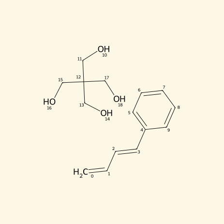 C=CC=Cc1ccccc1.OCC(CO)(CO)CO